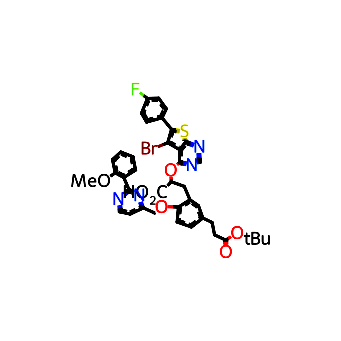 COc1ccccc1-c1nccc(COc2ccc(CCC(=O)OC(C)(C)C)cc2CC(Oc2ncnc3sc(-c4ccc(F)cc4)c(Br)c23)C(=O)O)n1